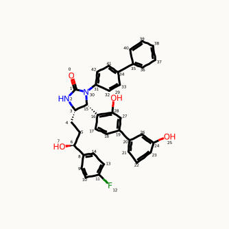 O=C1N[C@@H](CC[C@H](O)c2ccc(F)cc2)[C@@H](c2ccc(-c3cccc(O)c3)cc2O)N1c1ccc(-c2ccccc2)cc1